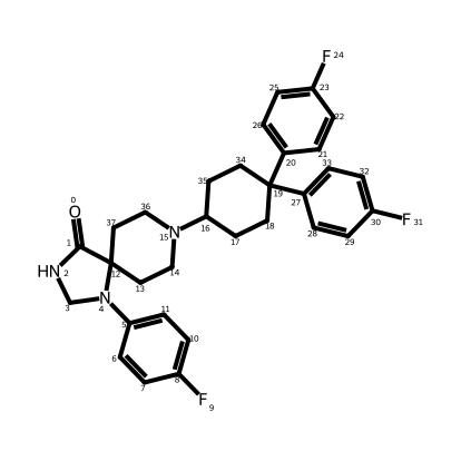 O=C1NCN(c2ccc(F)cc2)C12CCN(C1CCC(c3ccc(F)cc3)(c3ccc(F)cc3)CC1)CC2